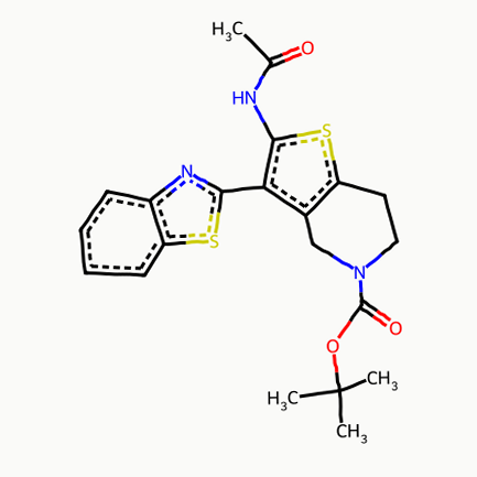 CC(=O)Nc1sc2c(c1-c1nc3ccccc3s1)CN(C(=O)OC(C)(C)C)CC2